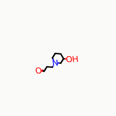 O=CCCN1CCCC(O)C1